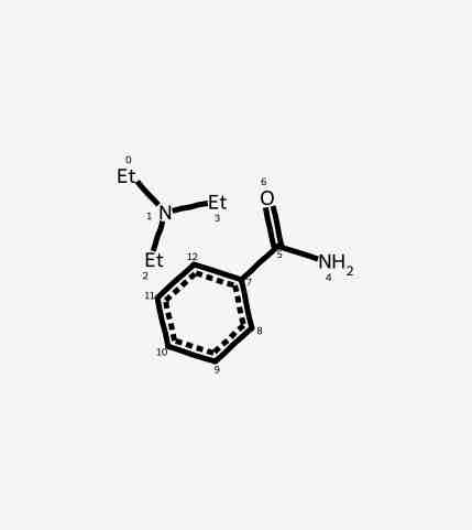 CCN(CC)CC.NC(=O)c1ccccc1